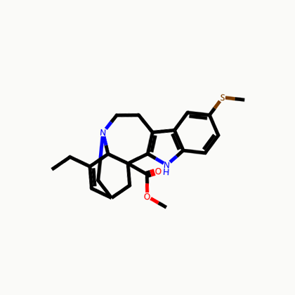 CCC1=CC2CN3CCc4c([nH]c5ccc(SC)cc45)C(C(=O)OC)(C2)C13